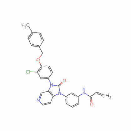 C=CC(=O)Nc1cccc(-n2c(=O)n(-c3ccc(OCc4ccc(C(F)(F)F)cc4)c(Cl)c3)c3cnccc32)c1